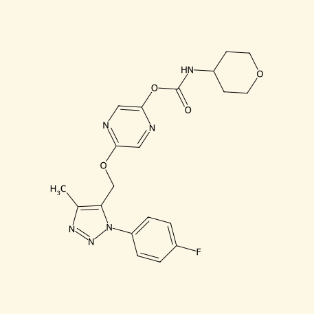 Cc1nnn(-c2ccc(F)cc2)c1COc1cnc(OC(=O)NC2CCOCC2)cn1